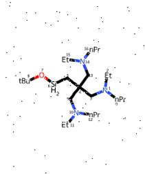 CCCN(CC)CC(C[SiH2]OC(C)(C)C)(CN(CC)CCC)CN(CC)CCC